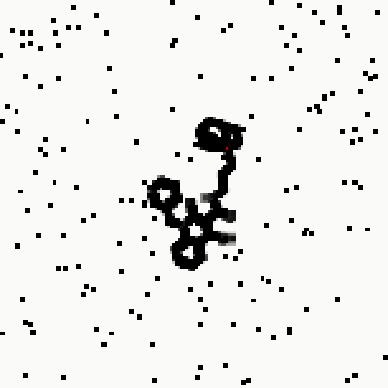 O=C(NCCCN1C2CC3CC(C2)CC1C3)c1c(O)c2ccccc2n(Cc2cccnc2)c1=O